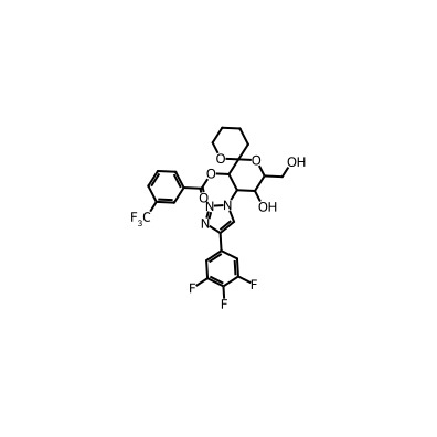 O=C(OC1C(n2cc(-c3cc(F)c(F)c(F)c3)nn2)C(O)C(CO)OC12CCCCO2)c1cccc(C(F)(F)F)c1